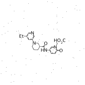 CCc1cncc(N2CCC[C@H](C(=O)Nc3ccc(=O)n(CC(=O)O)c3)C2)c1